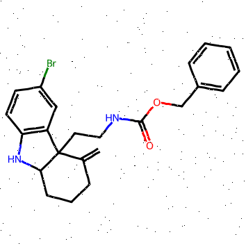 C=C1CCCC2Nc3ccc(Br)cc3C12CCNC(=O)OCc1ccccc1